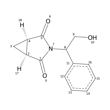 O=C1[C@H]2C[C@H]2C(=O)N1C(CO)c1ccccc1